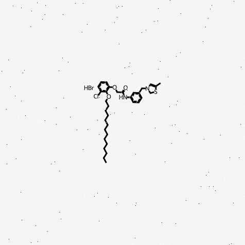 Br.CCCCCCCCCCCCCCOc1c(Cl)cccc1OCC(=O)Nc1cccc(CN2C=C(C)SC2)c1